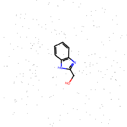 OCc1nc2[c]cccc2[nH]1